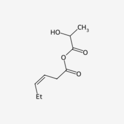 CC/C=C\CC(=O)OC(=O)C(C)O